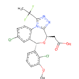 COc1cccc([C@H]2O[C@H](CC(=O)O)c3nnc(C(C)(F)F)n3-c3ccc(Cl)cc32)c1Cl